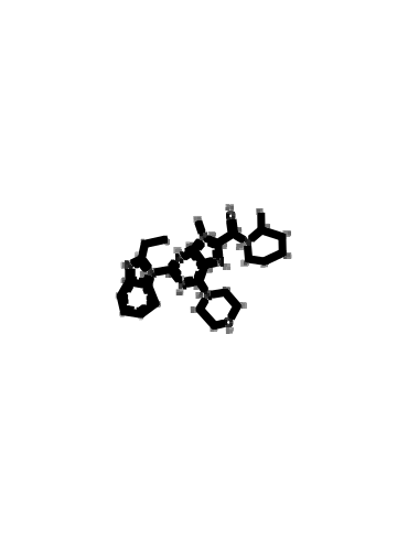 CCc1nc2ccccc2n1-c1nc(N2CCOCC2)c2nc(C(=O)N3CCCCC3C)n(C)c2n1